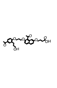 CC(=O)c1ccc(OCCCOc2ccc3ccc(OCCCC(=O)O)cc3c2C(C)=O)c(CCCO)c1